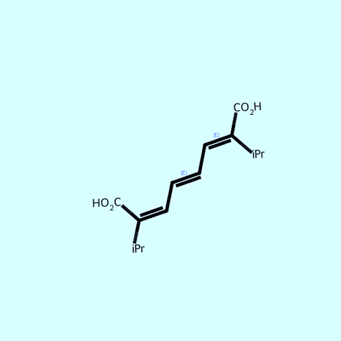 CC(C)C(=C/C=C/C=C(/C(=O)O)C(C)C)C(=O)O